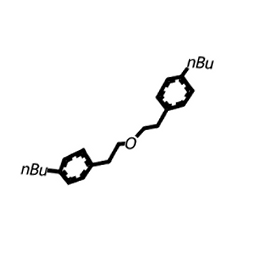 CCCCc1ccc(CCOCCc2ccc(CCCC)cc2)cc1